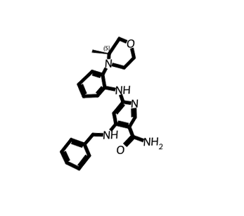 C[C@H]1COCCN1c1ccccc1Nc1cc(NCc2ccccc2)c(C(N)=O)cn1